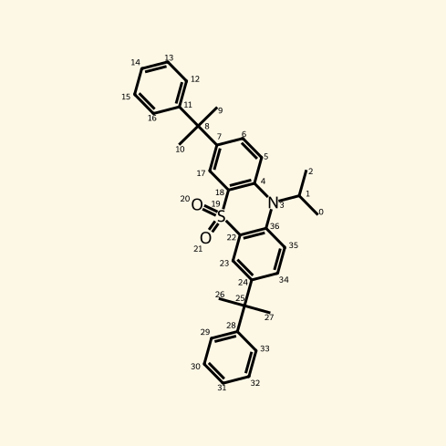 CC(C)N1c2ccc(C(C)(C)c3ccccc3)cc2S(=O)(=O)c2cc(C(C)(C)c3ccccc3)ccc21